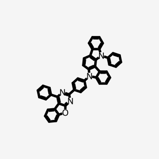 c1ccc(-c2nc(-c3ccc(-n4c5ccccc5c5c4ccc4c6ccccc6n(-c6ccccc6)c45)cc3)nc3oc4ccccc4c23)cc1